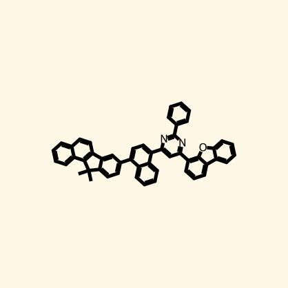 CC1(C)c2ccc(-c3ccc(-c4cc(-c5cccc6c5oc5ccccc56)nc(-c5ccccc5)n4)c4ccccc34)cc2-c2ccc3ccccc3c21